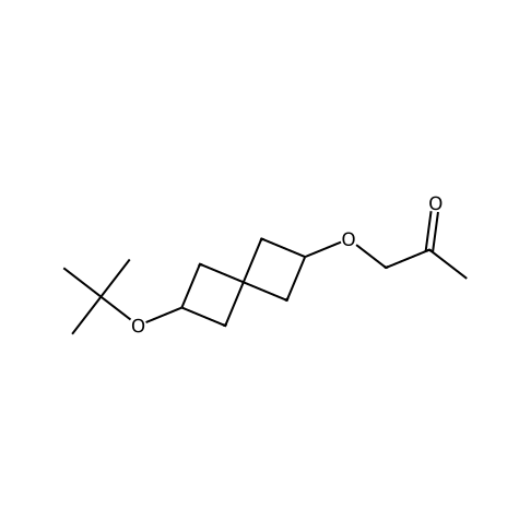 CC(=O)COC1CC2(C1)CC(OC(C)(C)C)C2